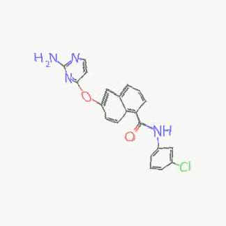 Nc1nccc(Oc2ccc3c(C(=O)Nc4cccc(Cl)c4)cccc3c2)n1